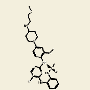 COCCNC1CCN(c2ccc(Nc3ncc(Cl)c(Nc4ccccc4NS(C)(=O)=O)n3)c(OC)c2)CC1